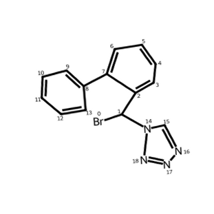 BrC(c1ccccc1-c1ccccc1)n1cnnn1